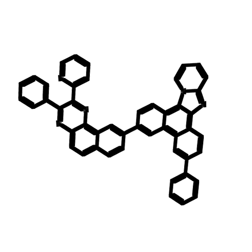 c1ccc(-c2ccc3c(c2)c2cc(-c4ccc5ccc6nc(-c7ccccc7)c(-c7ccccn7)nc6c5c4)ccc2c2c3nc3ccccn32)cc1